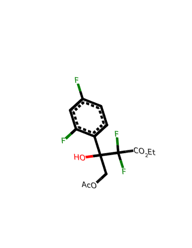 CCOC(=O)C(F)(F)C(O)(COC(C)=O)c1ccc(F)cc1F